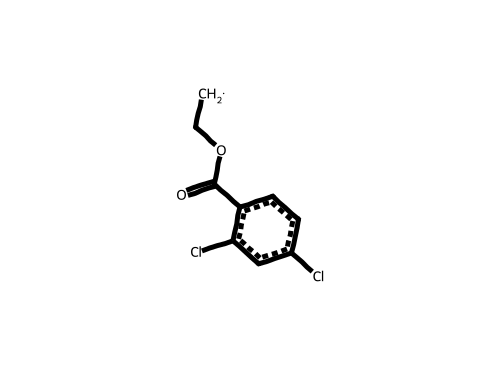 [CH2]COC(=O)c1ccc(Cl)cc1Cl